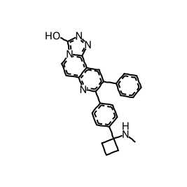 CNC1(c2ccc(-c3nc4ccn5c(O)nnc5c4cc3-c3ccccc3)cc2)CCC1